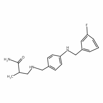 CC(CNCc1ccc(NCc2cccc(F)c2)cc1)C(N)=O